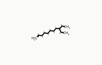 C=CCCCCCCC(CC)CC